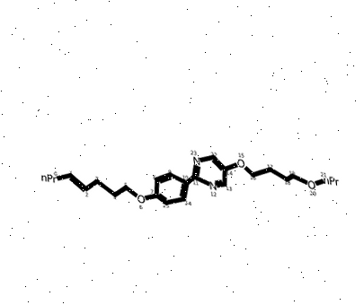 CCCC=CCCCOc1ccc(-c2ncc(OCCCCOCCC)cn2)cc1